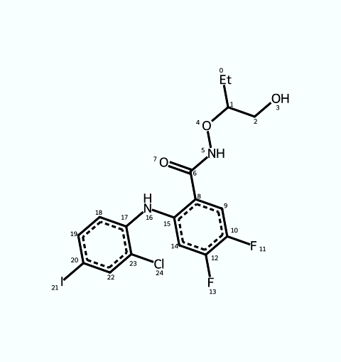 CCC(CO)ONC(=O)c1cc(F)c(F)cc1Nc1ccc(I)cc1Cl